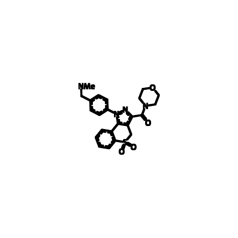 CNCc1ccc(-n2nc(C(=O)N3CCOCC3)c3c2-c2ccccc2S(=O)(=O)C3)cc1